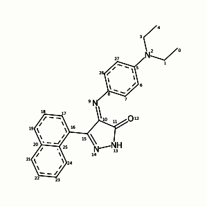 CCN(CC)c1ccc(N=C2C(=O)NN=C2c2cccc3ccccc23)cc1